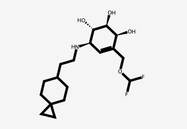 O[C@@H]1[C@@H](O)[C@@H](O)C(COC(F)F)=C[C@H]1NCCC1CCC2(CC1)CC2